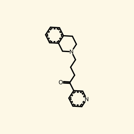 O=C(CCCN1CCc2ccccc2C1)c1cccnc1